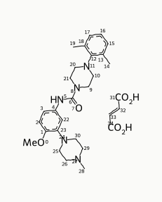 COc1ccc(NC(=O)N2CCN(c3c(C)cccc3C)CC2)cc1N1CCN(C)CC1.O=C(O)/C=C/C(=O)O